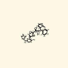 Cc1cnc(Nc2ccnn2C)nc1-c1coc(C(=O)NC(c2ccccc2)c2ccnn2C)n1